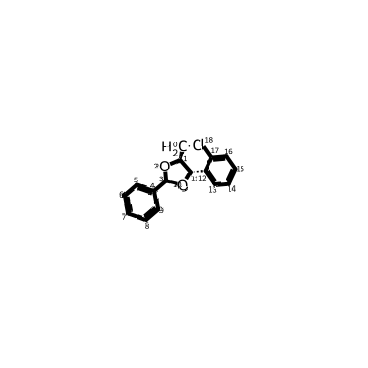 [CH2][C@@H]1OC(c2ccccc2)O[C@H]1c1ccccc1Cl